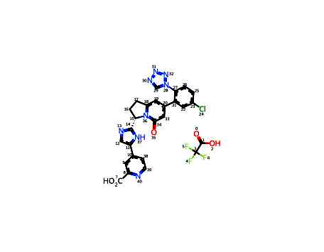 O=C(O)C(F)(F)F.O=C(O)c1cc(-c2cnc([C@@H]3CCc4cc(-c5cc(Cl)ccc5-n5cnnn5)cc(=O)n43)[nH]2)ccn1